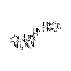 Nc1cccnc1CNc1ncnc2sc(CCNCCc3nc4ccccc4[nH]3)nc12